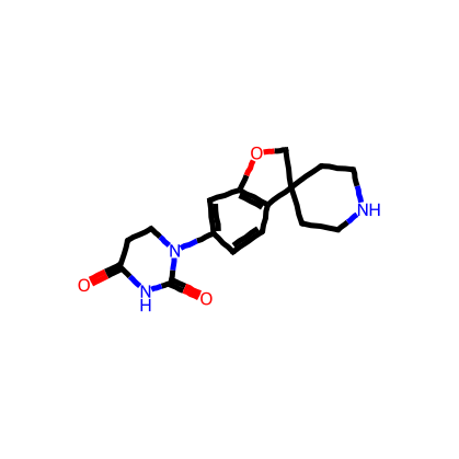 O=C1CCN(c2ccc3c(c2)OCC32CCNCC2)C(=O)N1